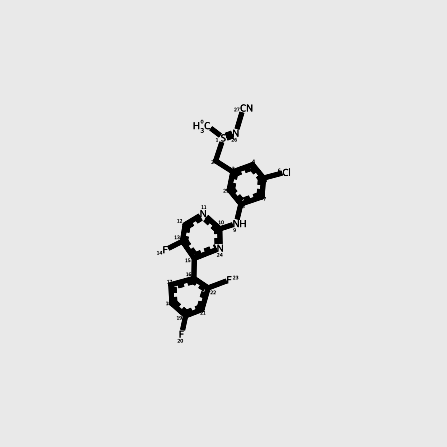 CS(Cc1cc(Cl)cc(Nc2ncc(F)c(-c3ccc(F)cc3F)n2)c1)=NC#N